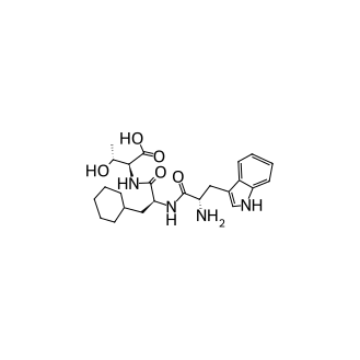 C[C@@H](O)[C@H](NC(=O)[C@H](CC1CCCCC1)NC(=O)[C@@H](N)Cc1c[nH]c2ccccc12)C(=O)O